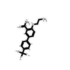 CCCOc1ccc(-c2ccc(C(F)(F)F)cc2)cc1C(N)=O